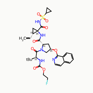 C=C[C@@H]1C[C@]1(NC(=O)[C@@H]1C[C@@H](Oc2nccc3ccccc23)CN1C(=O)[C@@H](NC(=O)OCCF)C(C)(C)C)C(=O)NS(=O)(=O)C1CC1